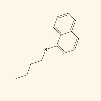 CCCC[B]c1cccc2ccccc12